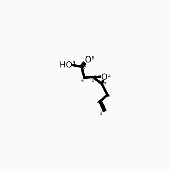 C=CCC1OC1CC(=O)O